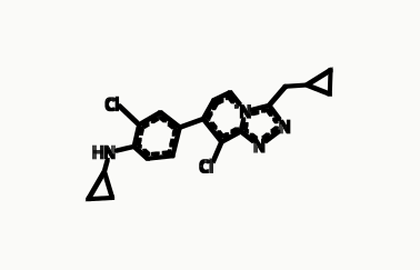 Clc1cc(-c2ccn3c(CC4CC4)nnc3c2Cl)ccc1NC1CC1